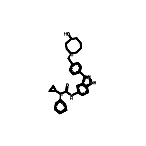 O=C(Nc1ccc2[nH]nc(-c3ccc(C[C@@H]4CCCCC(O)CC4)cc3)c2c1)[C@@H](c1ccccc1)C1CC1